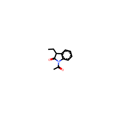 CCC1C(=O)N(C(C)=O)c2ccccc21